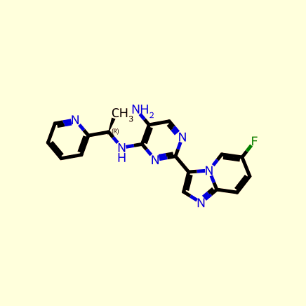 C[C@@H](Nc1nc(-c2cnc3ccc(F)cn23)ncc1N)c1ccccn1